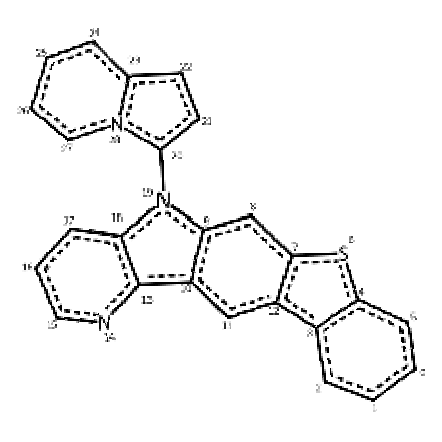 c1ccc2c(c1)sc1cc3c(cc12)c1ncccc1n3-c1ccc2ccccn12